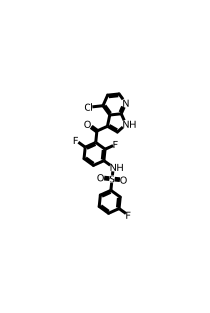 O=C(c1c(F)ccc(NS(=O)(=O)c2cccc(F)c2)c1F)c1c[nH]c2nccc(Cl)c12